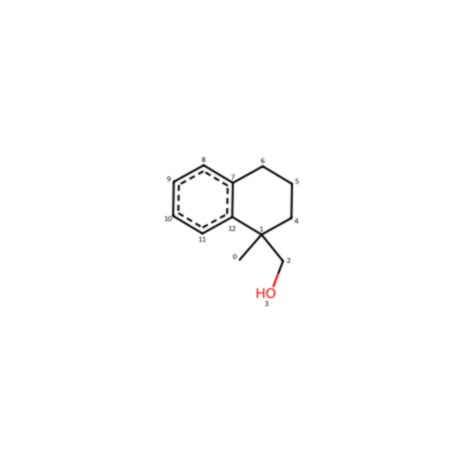 CC1(CO)CCCc2ccccc21